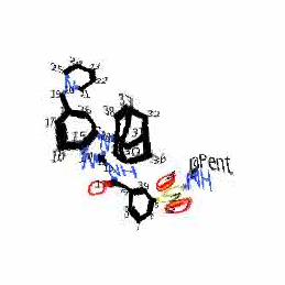 CCCCCNS(=O)(=O)c1cccc(C(=O)Nc2nc3ccc(CN4CCCCC4)cc3n2C23CC4CC(CC(C4)C2)C3)c1